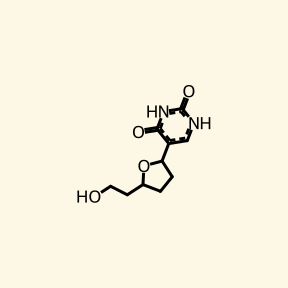 O=c1[nH]cc(C2CCC(CCO)O2)c(=O)[nH]1